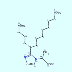 CCCCCCCCCCCCCCCCCC(CCCCCCCCCCCCC)c1nccn1C(C)CCCCCCCCC